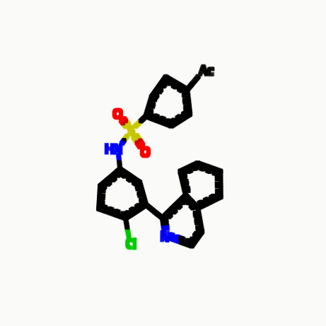 CC(=O)c1ccc(S(=O)(=O)Nc2ccc(Cl)c(-c3nccc4ccccc34)c2)cc1